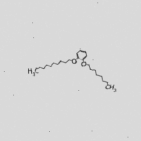 CCCCCCCCCCOc1c[c]ccc1OCCCCCCCC